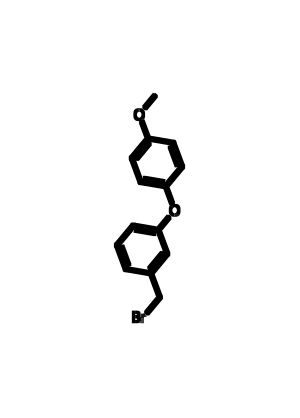 COc1ccc(Oc2cccc(CBr)c2)cc1